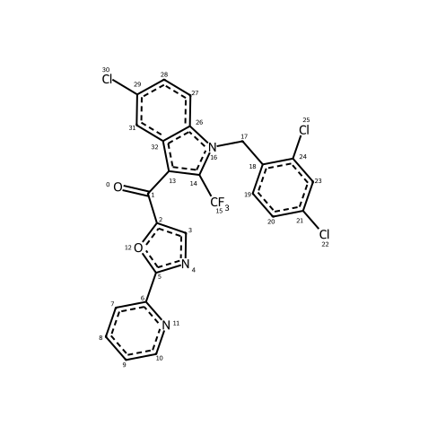 O=C(c1cnc(-c2ccccn2)o1)c1c(C(F)(F)F)n(Cc2ccc(Cl)cc2Cl)c2ccc(Cl)cc12